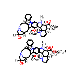 CC[C@]1(O)C[C@@H]2C[N@@](CCc3c([nH]c4ccccc34)[C@@](C(=O)OC)(c3cc4c(cc3OC)N(C)[C@H]3[C@@](O)(C(=O)OC)[C@H](OC(C)=O)[C@]5(CC)C=CCN6CC[C@]43[C@@H]65)C2)C1.CC[C@]1(O)C[C@@H]2C[N@@](CCc3c([nH]c4ccccc34)[C@@](C(=O)OC)(c3cc4c(cc3OC)N(C)[C@H]3[C@@](O)(C(=O)OC)[C@H](OC(C)=O)[C@]5(CC)C=CCN6CC[C@]43[C@@H]65)C2)C1.O=S(=O)(O)O